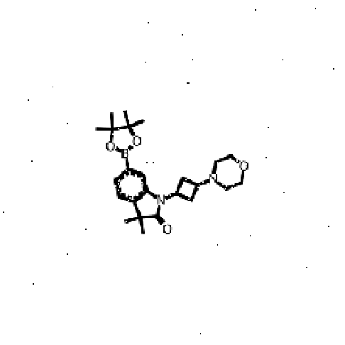 CC1(C)C(=O)N(C2CC(N3CCOCC3)C2)c2cc(B3OC(C)(C)C(C)(C)O3)ccc21